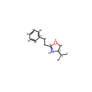 CC(C)C1COC(CCc2ccccc2)=N1